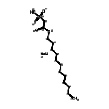 CCCCCCCCCCCCOC(=O)CS(=O)(=O)O.[NaH]